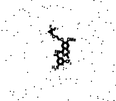 COc1cc2nc(C)nc(NC(C)c3cc(N)cc(C(F)(F)F)c3)c2cc1OCCOC1CC1(F)F